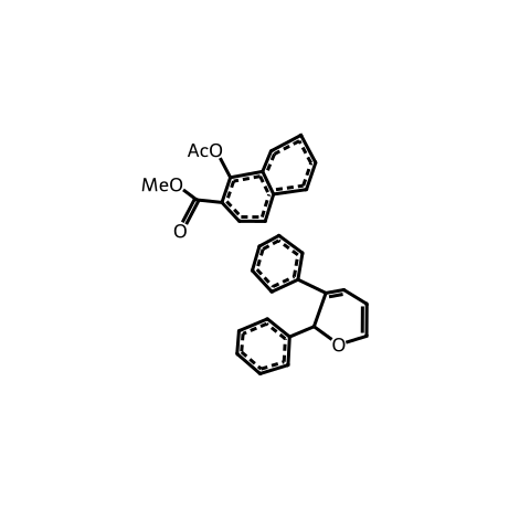 C1=COC(c2ccccc2)C(c2ccccc2)=C1.COC(=O)c1ccc2ccccc2c1OC(C)=O